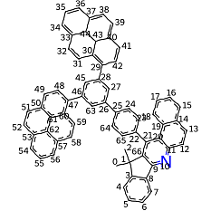 CC1(C)c2ccccc2-c2nc3ccc4ccccc4c3c(-c3ccc(-c4cc(C5=C6C=CC7=CC=CC8=CC=C(C=C5)C6C78)cc(-c5ccc6ccc7cccc8ccc5c6c78)c4)cc3)c21